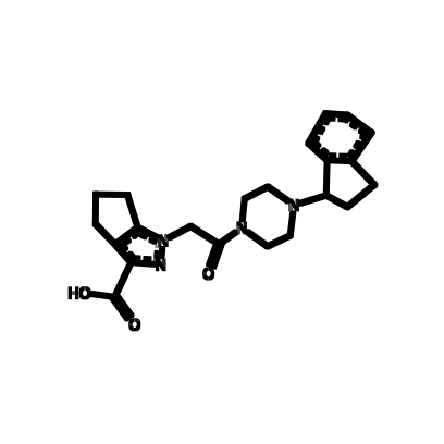 O=C(O)c1nn(CC(=O)N2CCN(C3CCc4ccccc43)CC2)c2c1CCC2